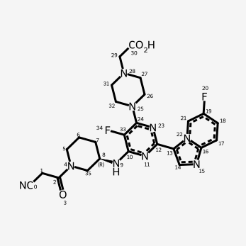 N#CCC(=O)N1CCC[C@@H](Nc2nc(-c3cnc4ccc(F)cn34)nc(N3CCN(CC(=O)O)CC3)c2F)C1